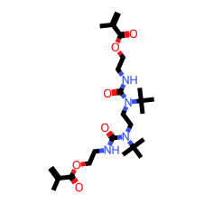 C=C(C)C(=O)OCCNC(=O)N(CCN(C(=O)NCCOC(=O)C(=C)C)C(C)(C)C)C(C)(C)C